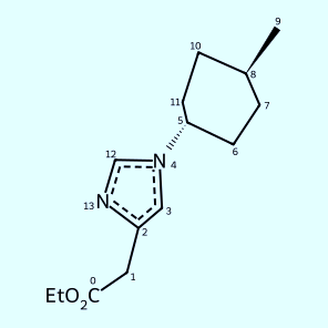 CCOC(=O)Cc1cn([C@H]2CC[C@H](C)CC2)cn1